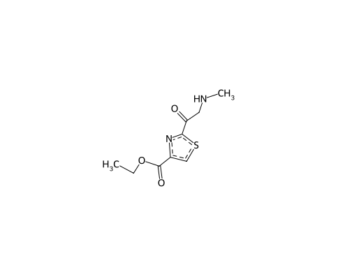 CCOC(=O)c1csc(C(=O)CNC)n1